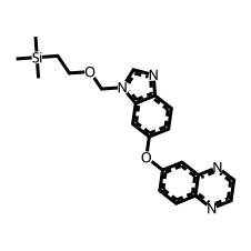 C[Si](C)(C)CCOCn1cnc2ccc(Oc3ccc4nccnc4c3)cc21